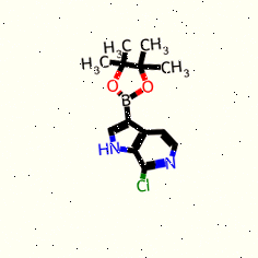 CC1(C)OB(c2c[nH]c3c(Cl)nccc23)OC1(C)C